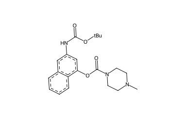 CN1CCN(C(=O)Oc2cc(NC(=O)OC(C)(C)C)cc3ccccc23)CC1